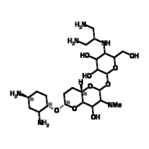 CNC1C(OC2OC(CO)C(NC(CN)CN)C(O)C2O)O[C@H]2CC[C@@H](O[C@H]3CC[C@H](N)CC3N)OC2C1O